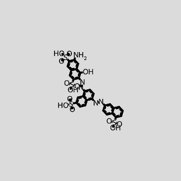 Nc1cc2c(O)c(N=Nc3ccc(N=Nc4ccc5c(S(=O)(=O)O)cccc5c4)c4ccc(S(=O)(=O)O)cc34)c(S(=O)(=O)O)cc2cc1S(=O)(=O)O